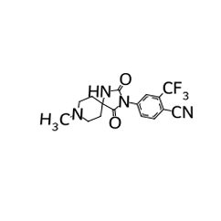 CN1CCC2(CC1)NC(=O)N(c1ccc(C#N)c(C(F)(F)F)c1)C2=O